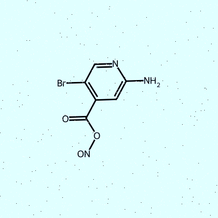 Nc1cc(C(=O)ON=O)c(Br)cn1